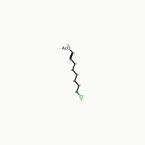 CC(=O)OC=CCCCCCCCl